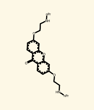 CCCNCCOc1ccc2c(=O)c3ccc(OCCNCCC)cc3oc2c1